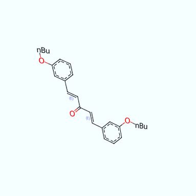 CCCCOc1cccc(/C=C/C(=O)/C=C/c2cccc(OCCCC)c2)c1